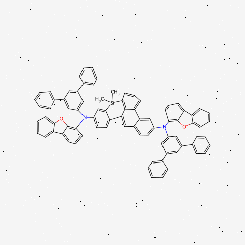 C[Si]1(C)c2cc(N(c3cc(-c4ccccc4)cc(-c4ccccc4)c3)c3cccc4c3oc3ccccc34)ccc2-c2cc3ccc(N(c4cc(-c5ccccc5)cc(-c5ccccc5)c4)c4cccc5c4oc4ccccc45)cc3c3cccc1c23